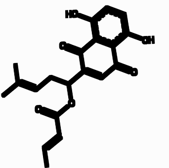 C/C=C/C(=O)OC(CC=C(C)C)C1=CC(=O)c2c(O)ccc(O)c2C1=O